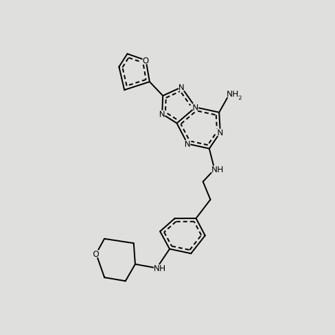 Nc1nc(NCCc2ccc(NC3CCOCC3)cc2)nc2nc(-c3ccco3)nn12